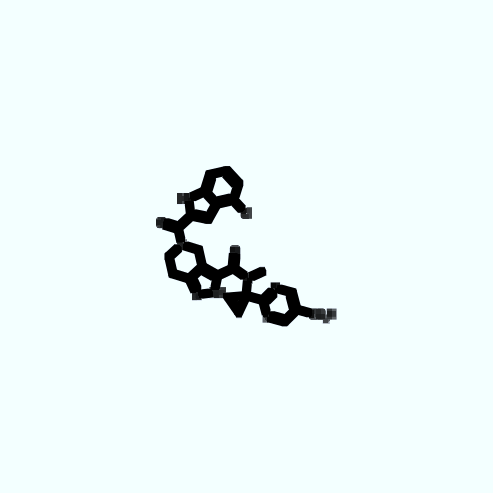 CN(C(=O)c1[nH]nc2c1CN(C(=O)c1cc3c(Cl)cccc3[nH]1)CC2)C1(c2ncc(C(=O)O)cn2)CC1